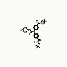 CN1CCN(CC(=O)N(c2ccc(C(=O)NOC(C)(C)C)cc2)c2ccc(C(=O)NOC(C)(C)C)cc2)CC1